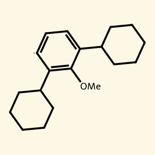 COc1c(C2CCCCC2)[c]ccc1C1CCCCC1